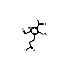 Cc1c(C(=O)O)[nH]c(C=O)c1CCC(=O)O